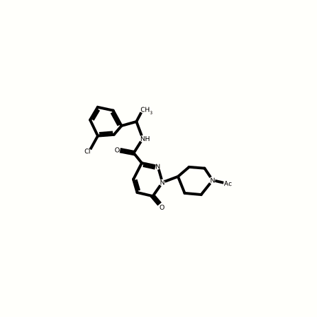 CC(=O)N1CCC(n2nc(C(=O)NC(C)c3cccc(Cl)c3)ccc2=O)CC1